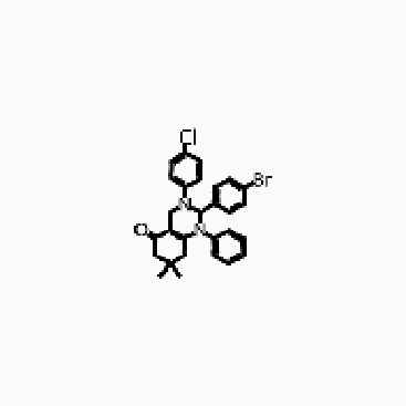 CC1(C)CC(=O)C2=C(C1)N(c1ccccc1)C(c1ccc(Br)cc1)N(c1ccc(Cl)cc1)C2